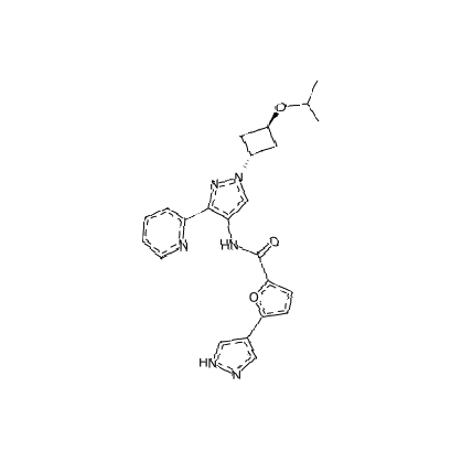 CC(C)O[C@H]1C[C@H](n2cc(NC(=O)c3ccc(-c4cn[nH]c4)o3)c(-c3ccccn3)n2)C1